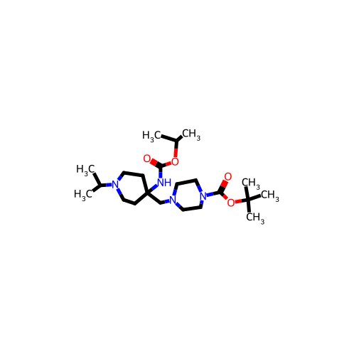 CC(C)OC(=O)NC1(CN2CCN(C(=O)OC(C)(C)C)CC2)CCN(C(C)C)CC1